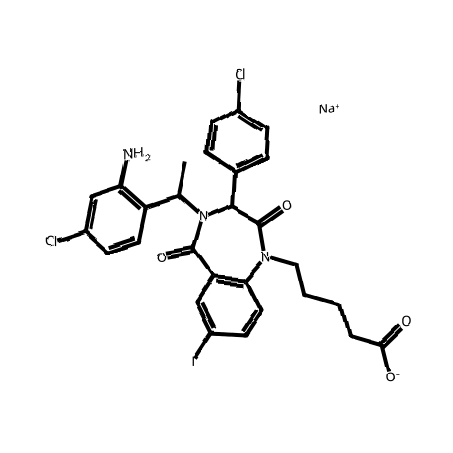 CC(c1ccc(Cl)cc1N)N1C(=O)c2cc(I)ccc2N(CCCCC(=O)[O-])C(=O)C1c1ccc(Cl)cc1.[Na+]